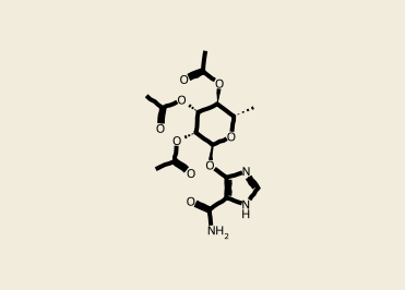 CC(=O)O[C@@H]1[C@@H](OC(C)=O)[C@H](C)O[C@@H](Oc2nc[nH]c2C(N)=O)[C@@H]1OC(C)=O